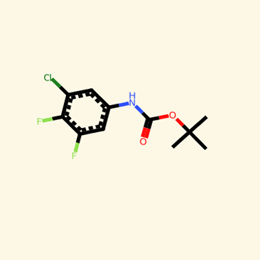 CC(C)(C)OC(=O)Nc1cc(F)c(F)c(Cl)c1